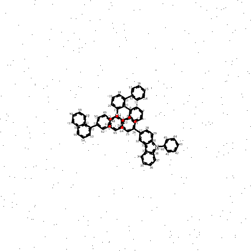 c1ccc(-c2ccccc2-c2c(-c3ccccc3)cccc2N(c2ccc(-c3ccc4c(c3)c3ccccc3n4-c3ccccc3)cc2)c2ccc(-c3cccc4ccccc34)cc2)cc1